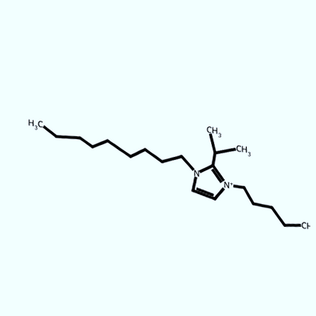 CCCCCCCCCn1cc[n+](CCCCC)c1C(C)C